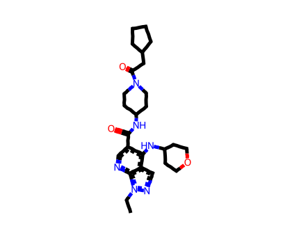 CCn1ncc2c(NC3CCOCC3)c(C(=O)NC3CCN(C(=O)CC4CCCC4)CC3)cnc21